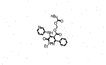 CCCCC(=O)OCOC(=O)c1c(-c2ccccc2)nn(CC)c(=O)c1Nc1cccnc1